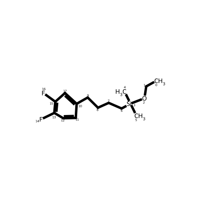 CCO[Si](C)(C)CCCCc1ccc(F)c(F)c1